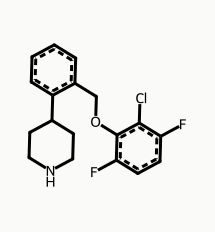 Fc1ccc(F)c(OCc2ccccc2C2CCNCC2)c1Cl